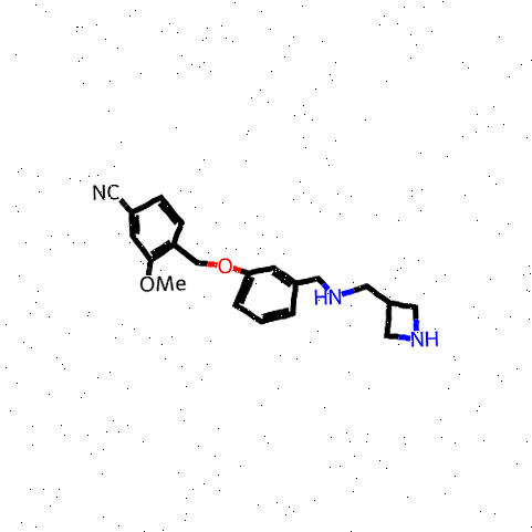 COc1cc(C#N)ccc1COc1cccc(CNCC2CNC2)c1